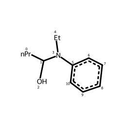 CCCC(O)N(CC)c1ccccc1